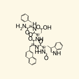 NC(=O)[C@H](Cc1ccccc1)NC(=O)[C@H](CC(=O)O)NC(=O)[C@H](Cc1ccc2ccccc2c1)NC(=O)[C@H](Cc1c[nH]c2ccccc12)NC=O